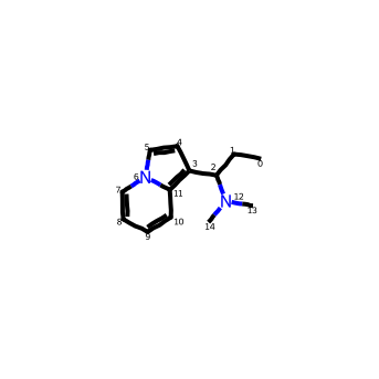 CCC(c1ccn2ccccc12)N(C)C